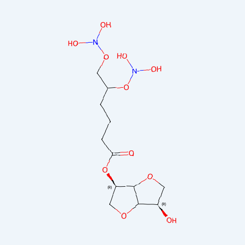 O=C(CCCC(CON(O)O)ON(O)O)O[C@@H]1COC2C1OC[C@H]2O